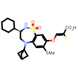 CSc1cc2c(cc1O/C=C(\F)C(=O)O)S(=O)(=O)N[C@H](C1CCCCC1)CN2C12CC(C1)C2